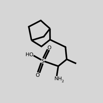 CC(CC1CC2CCC1C2)C(N)S(=O)(=O)O